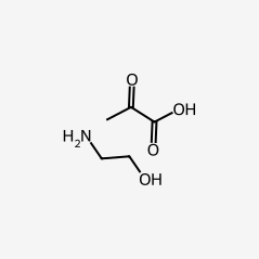 CC(=O)C(=O)O.NCCO